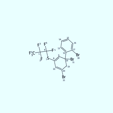 FC(F)(F)C(F)(F)C(F)(F)SC1=CC(Br)(c2ccccc2Br)[CH]C(Br)=C1